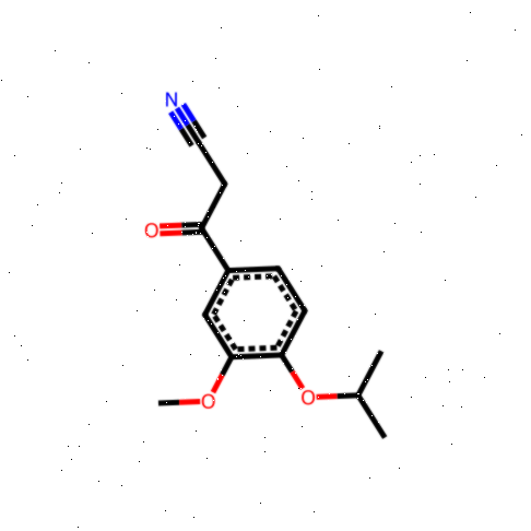 COc1cc(C(=O)CC#N)ccc1OC(C)C